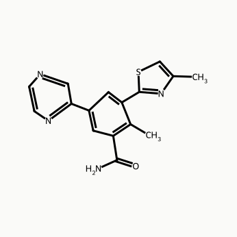 Cc1csc(-c2cc(-c3cnccn3)cc(C(N)=O)c2C)n1